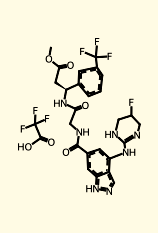 COC(=O)C[C@H](NC(=O)CNC(=O)c1cc(NC2=NCC(F)CN2)c2cn[nH]c2c1)c1cccc(C(F)(F)F)c1.O=C(O)C(F)(F)F